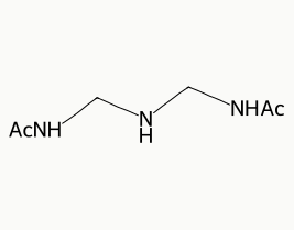 CC(=O)NCNCNC(C)=O